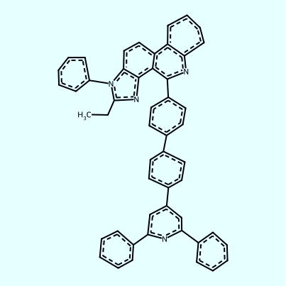 CCc1nc2c3c(-c4ccc(-c5ccc(-c6cc(-c7ccccc7)nc(-c7ccccc7)c6)cc5)cc4)nc4ccccc4c3ccc2n1-c1ccccc1